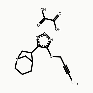 CC#CCOc1nsnc1C1CN2CCCC1C2.O=C(O)C(=O)O